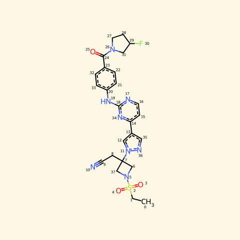 CCS(=O)(=O)N1CC(CC#N)(n2cc(-c3ccnc(Nc4ccc(C(=O)N5CCC(F)C5)cc4)n3)cn2)C1